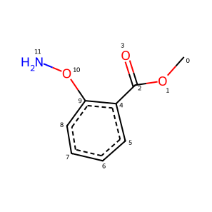 COC(=O)c1ccccc1ON